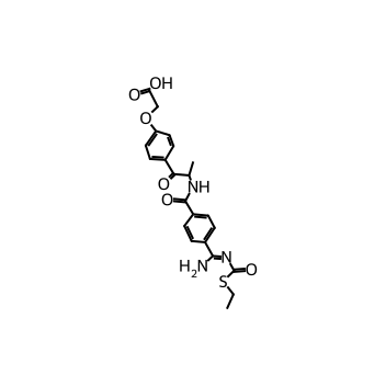 CCSC(=O)N=C(N)c1ccc(C(=O)NC(C)C(=O)c2ccc(OCC(=O)O)cc2)cc1